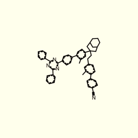 Cc1cc(CCC2(c3ccc(-c4ccc(-c5nc(-c6ccccc6)nc(-c6ccccc6)n5)cc4)c(C)c3)CC3CCCC(C3)C2)ccc1-c1ccc(C#N)cc1